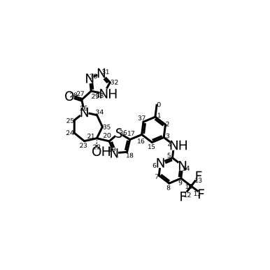 Cc1cc(Nc2nccc(C(F)(F)F)n2)cc(-c2cnc([C@@]3(O)CCCN(C(=O)c4nnc[nH]4)CC3)s2)c1